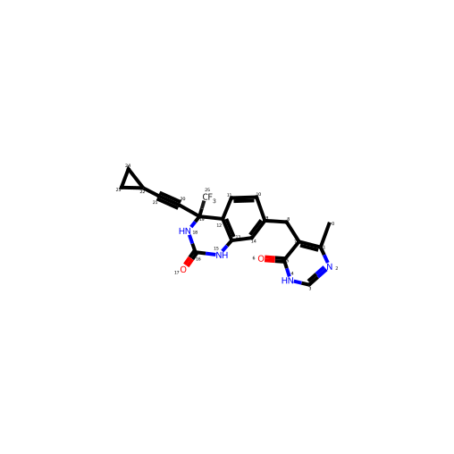 Cc1nc[nH]c(=O)c1Cc1ccc2c(c1)NC(=O)NC2(C#CC1CC1)C(F)(F)F